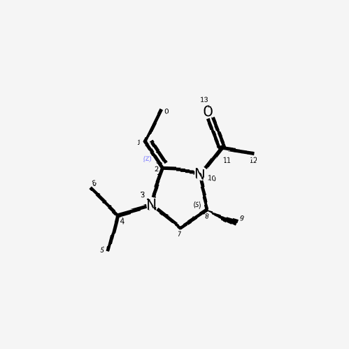 C/C=C1/N(C(C)C)C[C@H](C)N1C(C)=O